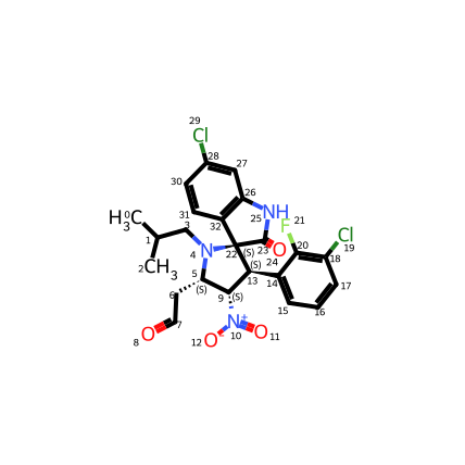 CC(C)CN1[C@@H](CC=O)[C@@H]([N+](=O)[O-])[C@H](c2cccc(Cl)c2F)[C@]12C(=O)Nc1cc(Cl)ccc12